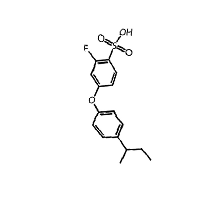 CCC(C)c1ccc(Oc2ccc(S(=O)(=O)O)c(F)c2)cc1